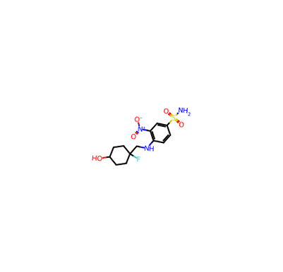 NS(=O)(=O)c1ccc(NCC2(F)CCC(O)CC2)c([N+](=O)[O-])c1